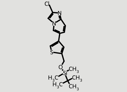 CC(C)(C)[Si](C)(C)OCc1cc(-c2ccc3nc(Cl)cn3c2)cs1